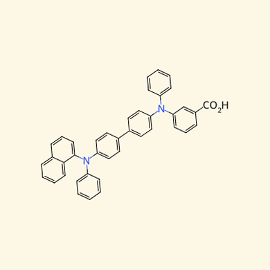 O=C(O)c1cccc(N(c2ccccc2)c2ccc(-c3ccc(N(c4ccccc4)c4cccc5ccccc45)cc3)cc2)c1